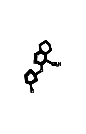 O=C(O)c1c(Oc2cccc(Cl)c2)nnc2c1CCCC2